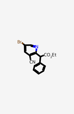 CCOC(=O)C(c1ccccc1)c1ncc(Br)cc1C#N